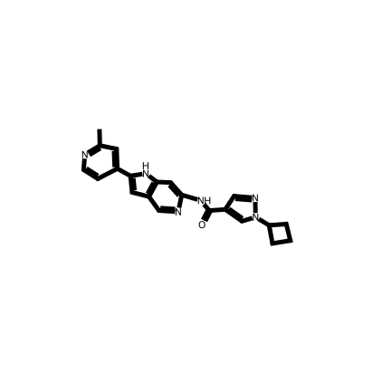 Cc1cc(-c2cc3cnc(NC(=O)c4cnn(C5CCC5)c4)cc3[nH]2)ccn1